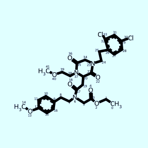 CCOC(=O)CN(CCc1ccc(OC)cc1)C(=O)CC1C(=O)N(CCc2ccc(Cl)cc2Cl)CC(=O)N1CCOC